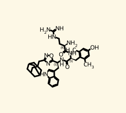 Cc1cc(O)cc(C)c1C[C@H](NC(=O)[C@H](N)CCNC(=N)N)C(=O)N[C@@H](Cc1c[nH]c2ccccc12)c1nc(CC23CC4CC(CC(C4)C2)C3)no1